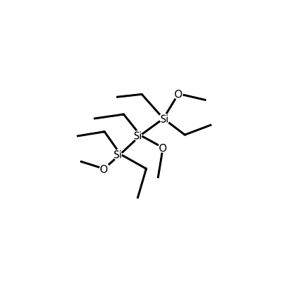 CC[Si](CC)(OC)[Si](CC)(OC)[Si](CC)(CC)OC